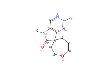 Cc1ncc2c(n1)C1(CCCOCC1)C(=O)N2C